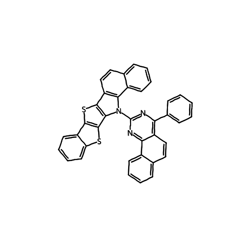 c1ccc(-c2nc(-n3c4c5ccccc5ccc4c4sc5c6ccccc6sc5c43)nc3c2ccc2ccccc23)cc1